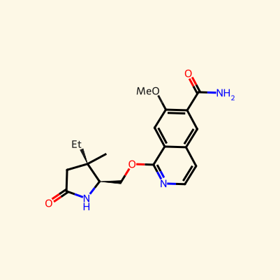 CC[C@]1(C)CC(=O)N[C@@H]1COc1nccc2cc(C(N)=O)c(OC)cc12